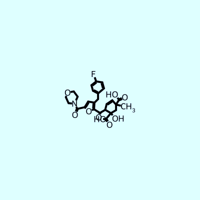 CC1(C(=O)O)C=CC(C(=O)c2oc(C(=O)N3CCOCC3)cc2Cc2ccc(F)cc2)C(O)(C(=O)O)C1